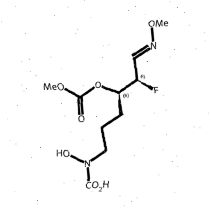 CON=C[C@@H](F)[C@@H](CCCN(O)C(=O)O)OC(=O)OC